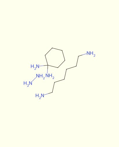 NC1(N)CCCCC1.NCCCCCCN.NN